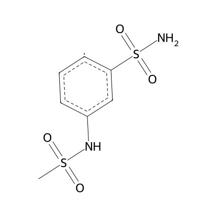 CS(=O)(=O)Nc1cc[c]c(S(N)(=O)=O)c1